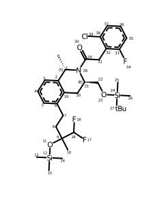 C[C@H]1c2cccc(CCC(C)(O[Si](C)(C)C)C(F)F)c2C[C@H](CO[Si](C)(C)C(C)(C)C)N1C(=O)Cc1c(F)cccc1Cl